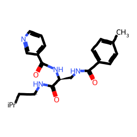 Cc1ccc(C(=O)NC[C@H](NC(=O)c2cccnc2)C(=O)N[CH]CC(C)C)cc1